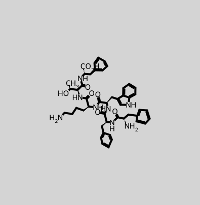 C[C@@H](O)[C@H](NC(=O)[C@H](CCCCN)NC(=O)[C@@H](Cc1c[nH]c2ccccc12)NC(=O)[C@H](Cc1ccccc1)NC(=O)[C@@H](N)Cc1ccccc1)C(=O)N[C@@H](Cc1ccccc1)C(=O)O